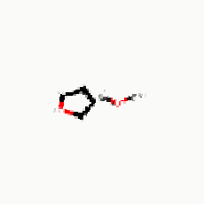 C1CCOC1.CCCCOCCCC